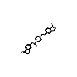 O=C1CCc2cc(CC(=O)N3CCN(CCc4ccc5c(c4)COC5=O)CC3)ccc21